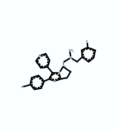 CN(Cc1cccc(F)c1)C[C@@H]1CCc2nc(-c3ccc(F)cc3)c(-c3ccncc3)n21